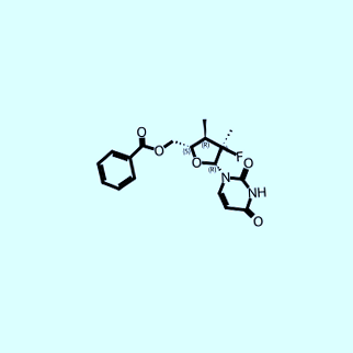 C[C@@H]1[C@@H](COC(=O)c2ccccc2)O[C@@H](n2ccc(=O)[nH]c2=O)[C@]1(C)F